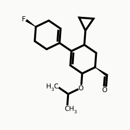 CC(C)OC1C=C(C2=CC[C@H](F)CC2)C(C2CC2)C[C@H]1C=O